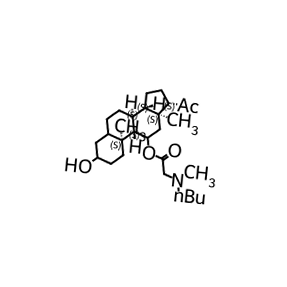 CCCCN(C)CC(=O)OC1C[C@]2(C)[C@@H](C(C)=O)CC[C@H]2[C@@H]2CCC3CC(O)CC[C@]3(C)[C@@H]12